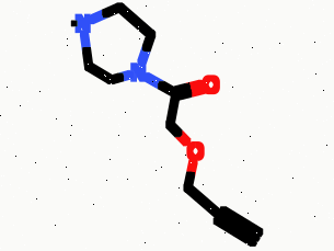 C#CCOCC(=O)N1CC[N]CC1